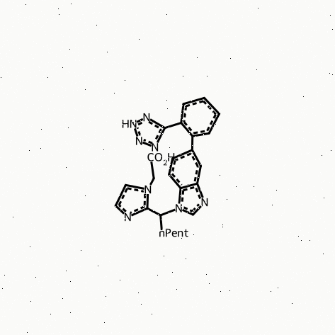 CCCCCC(c1nccn1CC(=O)O)n1cnc2cc(-c3ccccc3-c3nn[nH]n3)ccc21